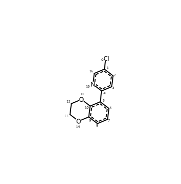 Clc1ccc(-c2cccc3c2OCCO3)nc1